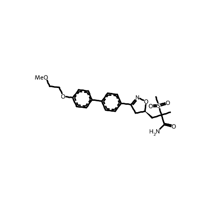 COCCOc1ccc(-c2ccc(C3=NO[C@@H](CC(C)(C(N)=O)S(C)(=O)=O)C3)cc2)cc1